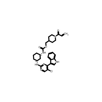 C=CC(=O)N1CCC(COC(=O)N[C@H]2CCC[C@@H](Nc3ncc(Cl)c(-c4c[nH]c5ccccc45)n3)C2)CC1